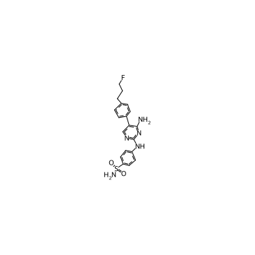 Nc1nc(Nc2ccc(S(N)(=O)=O)cc2)ncc1-c1ccc(CCCF)cc1